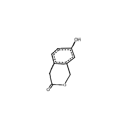 O=C1Cc2ccc(O)cc2CO1